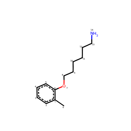 Cc1ccccc1OCCCCCCN